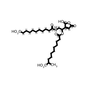 CC(CCCCCCCCC(=O)OC(CNC(=O)CCCCCCCCCC(=O)O)C1=CC(=O)OC1O)C(=O)O